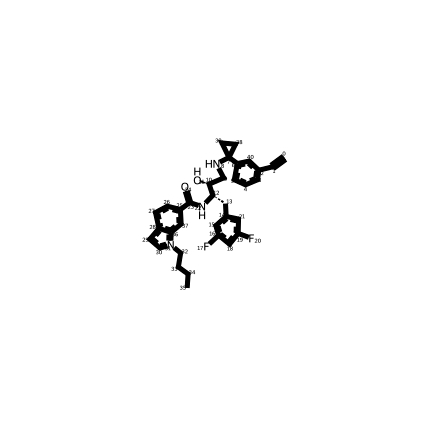 C#Cc1cccc(C2(NC[C@@H](O)[C@H](Cc3cc(F)cc(F)c3)NC(=O)c3ccc4ccn(CCCC)c4c3)CC2)c1